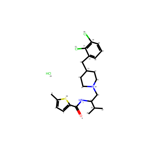 Cc1ccc(C(=O)NC(CN2CCC(Cc3cccc(Cl)c3Cl)CC2)C(C)C)s1.Cl